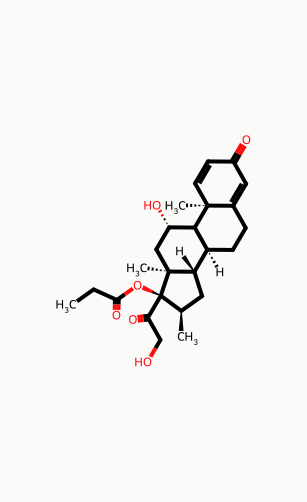 CCC(=O)O[C@]1(C(=O)CO)[C@H](C)C[C@H]2[C@@H]3CCC4=CC(=O)C=C[C@]4(C)C3[C@@H](O)C[C@@]21C